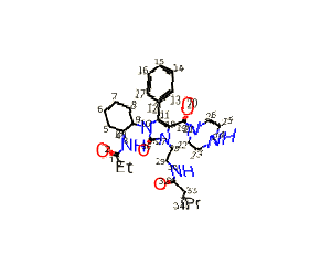 CCC(=O)N[C@H]1CCCCC1n1c(-c2ccccc2)c(C(=O)N2CCNCC2)n(CCNC(=O)CC(C)C)c1=O